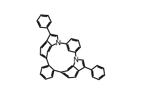 c1ccc(-c2cn3c4cccc(c4)n4cc(-c5ccccc5)c5ccc(cc54)c4ccccc4c4ccc2c3c4)cc1